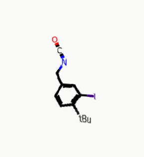 CC(C)(C)c1ccc(CN=C=O)cc1I